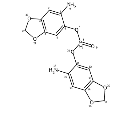 Nc1cc2c(cc1O[PH](=O)Oc1cc3c(cc1N)OCO3)OCO2